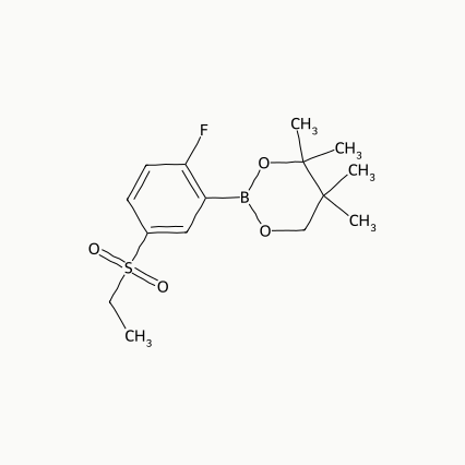 CCS(=O)(=O)c1ccc(F)c(B2OCC(C)(C)C(C)(C)O2)c1